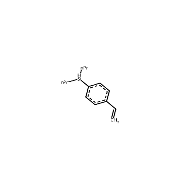 C=Cc1ccc([SiH](CCC)CCC)cc1